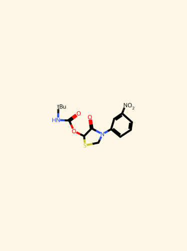 CC(C)(C)NC(=O)OC1SCN(c2cccc([N+](=O)[O-])c2)C1=O